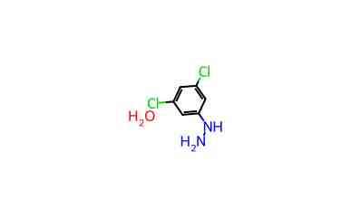 NNc1cc(Cl)cc(Cl)c1.O